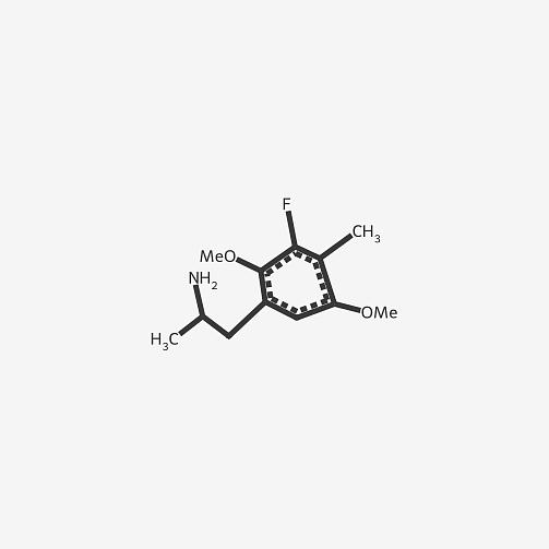 COc1cc(CC(C)N)c(OC)c(F)c1C